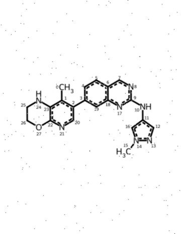 Cc1c(-c2ccc3cnc(Nc4cnn(C)c4)nc3c2)cnc2c1NCCO2